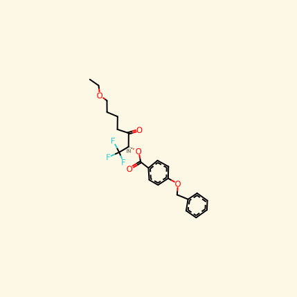 CCOCCCCC(=O)[C@H](OC(=O)c1ccc(OCc2ccccc2)cc1)C(F)(F)F